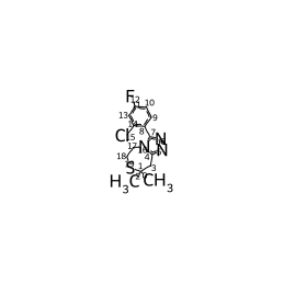 CC1(C)Cc2nnc(-c3ccc(F)cc3Cl)n2CCS1